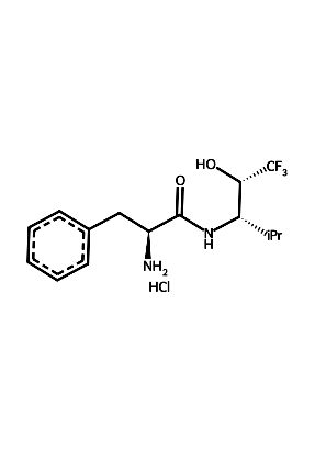 CC(C)[C@H](NC(=O)[C@@H](N)Cc1ccccc1)[C@H](O)C(F)(F)F.Cl